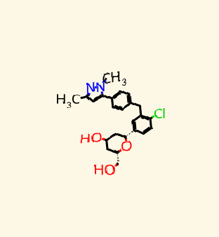 Cc1cc(-c2ccc(Cc3cc([C@H]4CC(O)C[C@@H](CO)O4)ccc3Cl)cc2)n(C)n1